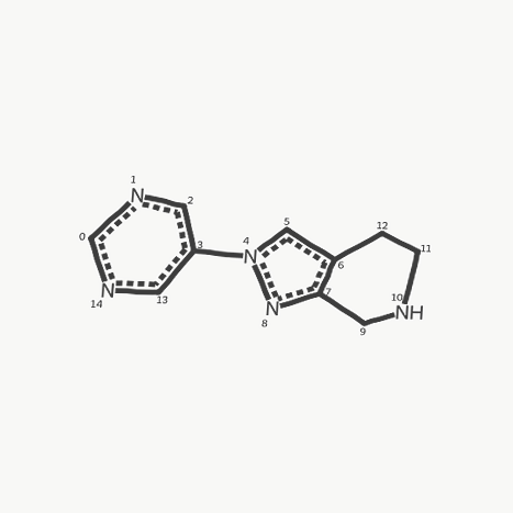 c1ncc(-n2cc3c(n2)CNCC3)cn1